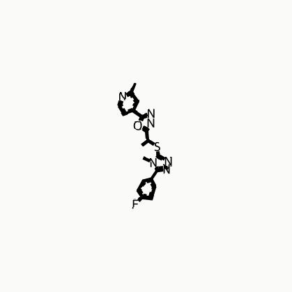 Cc1cc(-c2nnc(C(C)Sc3nnc(-c4ccc(F)cc4)n3C)o2)ccn1